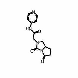 O=C(CN1CC2CCC(=O)N2C1=O)Nc1ccncc1